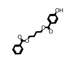 O=C(OCCCCOC(=O)c1ccc(O)cc1)c1ccccc1